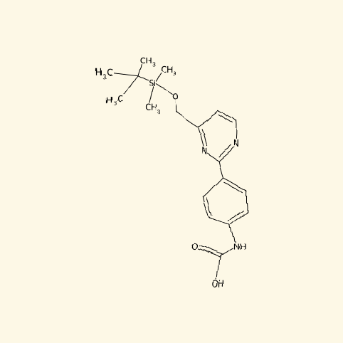 CC(C)(C)[Si](C)(C)OCc1ccnc(-c2ccc(NC(=O)O)cc2)n1